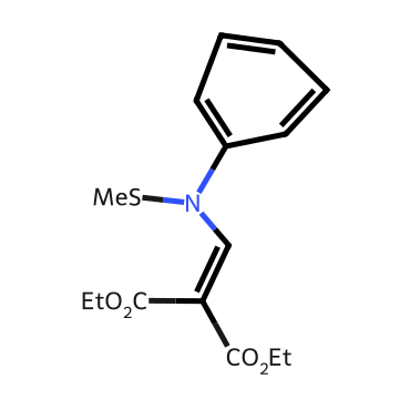 CCOC(=O)C(=CN(SC)c1ccccc1)C(=O)OCC